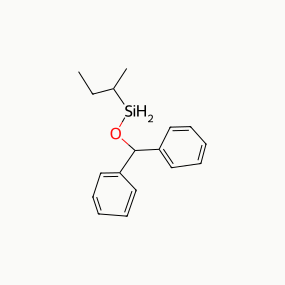 CCC(C)[SiH2]OC(c1ccccc1)c1ccccc1